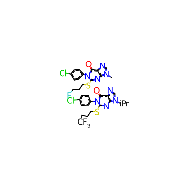 CC(C)n1cnc2c(=O)n(-c3ccc(Cl)cc3)c(SCCCC(F)(F)F)nc21.Cn1cnc2c(=O)n(-c3ccc(Cl)cc3)c(SCCCF)nc21